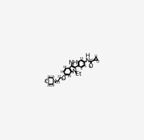 CCn1c(-c2ccc(NC(=O)C3CC3)cc2)c(N)c2ccc(OCCN3CCOCC3)cc21